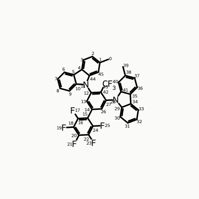 Cc1ccc2c3ccccc3n(-c3cc(-c4c(F)c(F)c(F)c(F)c4F)cc(-n4c5ccccc5c5ccc(C)cc54)c3C(F)(F)F)c2c1